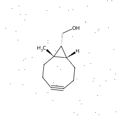 C[C@]12CCC#CCC[C@H]1[C@H]2CO